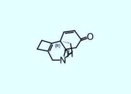 O=C1C=C[C@]23CCN(CC4=C2CC4)[C@H]3C1